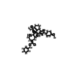 CCS(=O)(=O)c1cccc2c1nc(N[C@@H]1CN(C(=O)OCc3ccccc3)CCNC1=O)n1nc(-c3ccc(OC)cc3)nc21